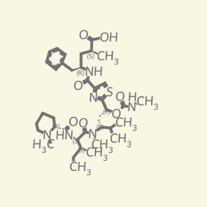 CC[C@H](C)[C@H](NC(=O)[C@H]1CCCCN1C)C(=O)N(C)[C@H](C[C@@H](OC(=O)NC)c1nc(C(=O)N[C@@H](Cc2ccccc2)C[C@H](C)C(=O)O)cs1)C(C)C